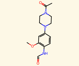 COc1cc(N2CCN(C(C)=O)CC2)ccc1NC=O